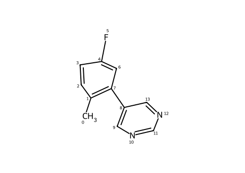 Cc1ccc(F)cc1-c1cncnc1